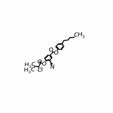 CCCCCc1ccc(OC(=O)c2ccc(OC(=O)C(Cl)C(C)C)c(C#N)c2)cc1